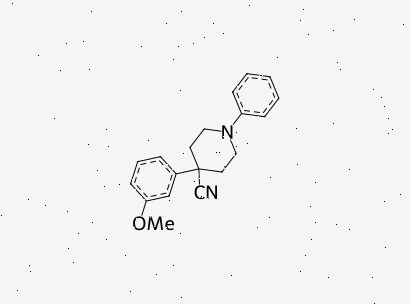 COc1cccc(C2(C#N)CCN(c3ccccc3)CC2)c1